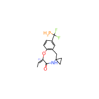 C/C=C1/Oc2ccc(C(F)(F)P)cc2CC2(CC2)NC1=O